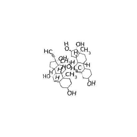 C#C[C@]1(O)CC[C@H]2[C@@H]3[C@@H](O)C=C4C[C@H](O)CC[C@]4(C)[C@H]3CC[C@@]21C.C[C@]12CC[C@H]3[C@@H]([C@@H](O)C=C4C[C@H](O)CC[C@@]43C)[C@@H]1C[C@@H](O)[C@@H]2O